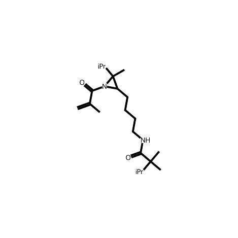 C=C(C)C(=O)N1C(CCCCNC(=O)C(C)(C)C(C)C)C1(C)C(C)C